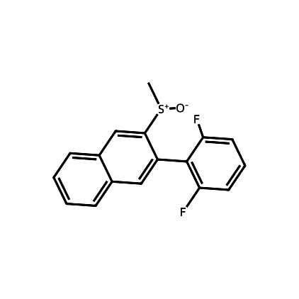 C[S+]([O-])c1cc2ccccc2cc1-c1c(F)cccc1F